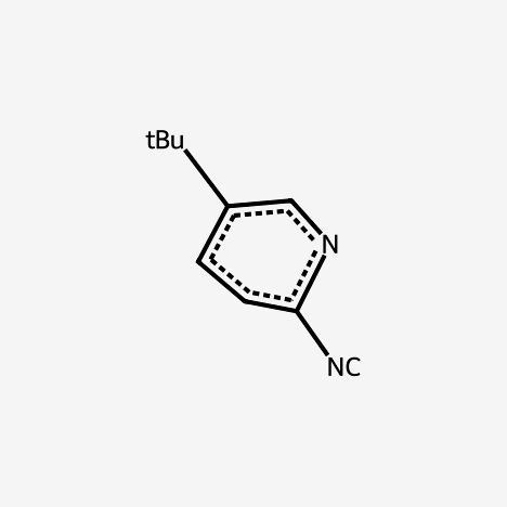 [C-]#[N+]c1ccc(C(C)(C)C)cn1